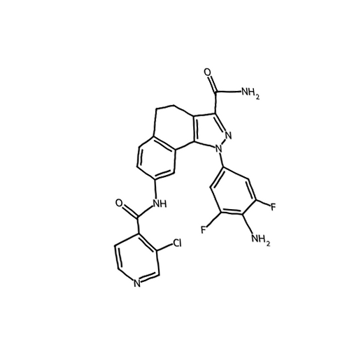 NC(=O)c1nn(-c2cc(F)c(N)c(F)c2)c2c1CCc1ccc(NC(=O)c3ccncc3Cl)cc1-2